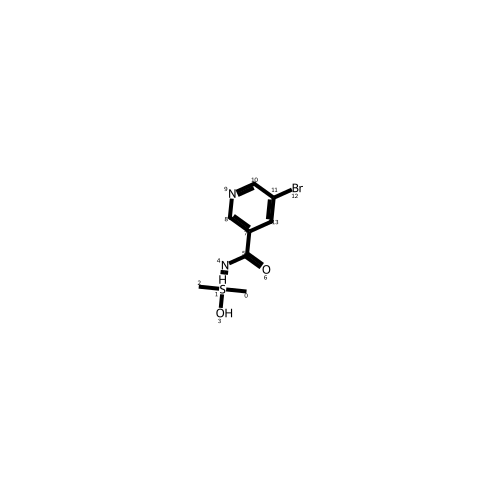 C[SH](C)(O)=NC(=O)c1cncc(Br)c1